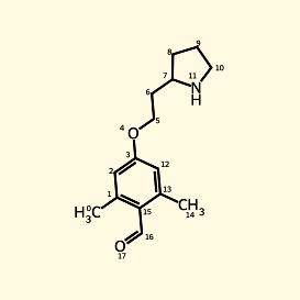 Cc1cc(OCCC2CCCN2)cc(C)c1C=O